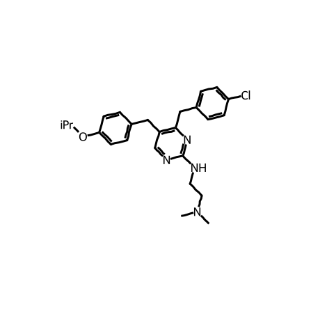 CC(C)Oc1ccc(Cc2cnc(NCCN(C)C)nc2Cc2ccc(Cl)cc2)cc1